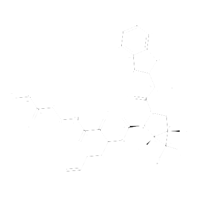 C=CCCC(NC(=O)[C@@H]1[C@@H]2[C@H](CN1C(=O)[C@@H](C)C1Cc3ccccc3C1)C2(Cl)Cl)C(=O)C(=O)NCCC(=O)NC(C)(C)C